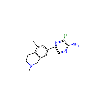 Cc1cc(-c2cnc(N)c(Cl)n2)cc2c1CCN(C)C2